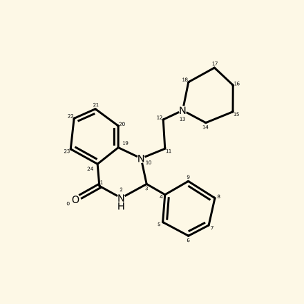 O=C1NC(c2ccccc2)N(CCN2CCCCC2)c2ccccc21